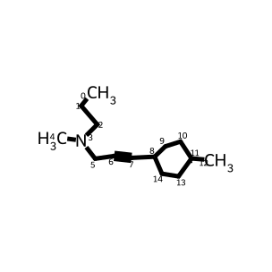 CCCN(C)CC#CC1CC[C](C)CC1